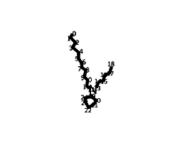 CCCCCCCCCCCCN(CCCCCC)C1CCCCC1